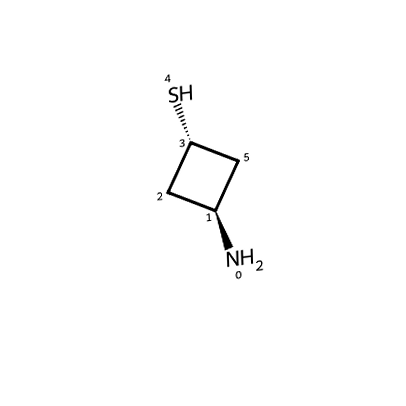 N[C@H]1C[C@H](S)C1